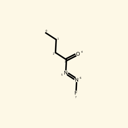 CCCC(=O)N=NF